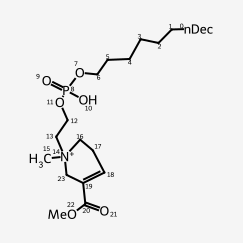 CCCCCCCCCCCCCCCCOP(=O)(O)OCC[N+]1(C)CCC=C(C(=O)OC)C1